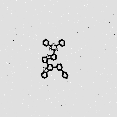 c1ccc(-c2cccc(-c3cc(-c4cccc5sc6c(-c7nc(-c8ccccc8)nc(-c8ccccc8)n7)cccc6c45)c4oc5ccccc5c4c3)c2)cc1